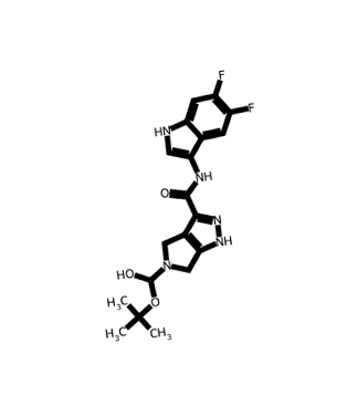 CC(C)(C)OC(O)N1Cc2[nH]nc(C(=O)Nc3c[nH]c4cc(F)c(F)cc34)c2C1